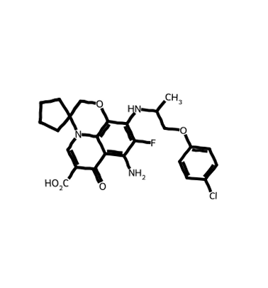 CC(COc1ccc(Cl)cc1)Nc1c(F)c(N)c2c(=O)c(C(=O)O)cn3c2c1OCC31CCCC1